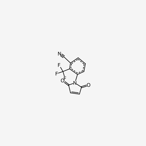 N#Cc1cccc(N2C(=O)C=CC2=O)c1C(F)(F)F